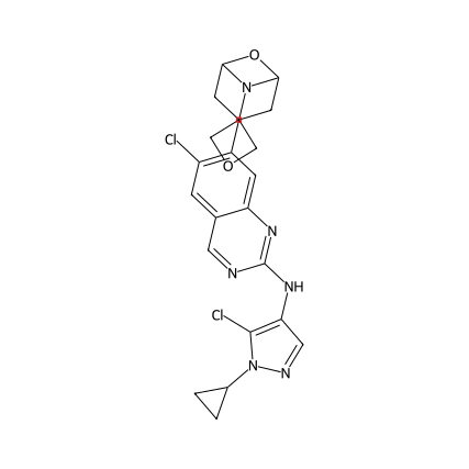 Clc1cc2cnc(Nc3cnn(C4CC4)c3Cl)nc2cc1C1CC2OC(C1)N2C1COC1